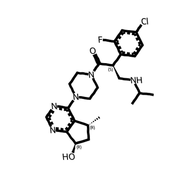 CC(C)NC[C@@H](C(=O)N1CCN(c2ncnc3c2[C@H](C)C[C@H]3O)CC1)c1ccc(Cl)cc1F